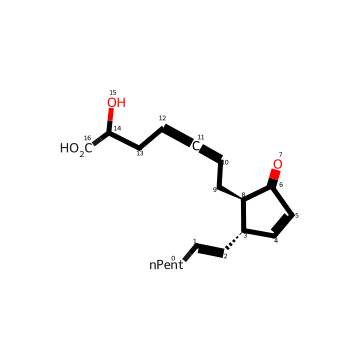 CCCCCC=C[C@H]1C=CC(=O)[C@@H]1CC=C=CCC(O)C(=O)O